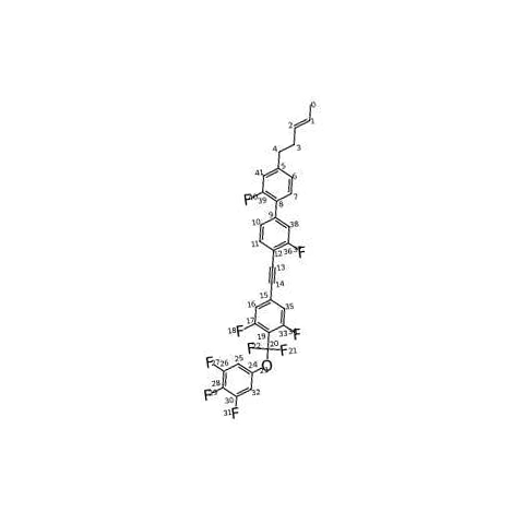 C/C=C/CCc1ccc(-c2ccc(C#Cc3cc(F)c(C(F)(F)Oc4cc(F)c(F)c(F)c4)c(F)c3)c(F)c2)c(F)c1